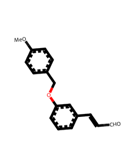 COc1ccc(COc2cccc(C=CC=O)c2)cc1